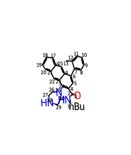 CCCCNC(=O)c1cc(-c2ccccc2C)c2cc3ccccc3cc2c1N1CCNCC1